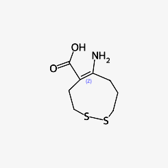 N/C1=C(\C(=O)O)CCSSCCC1